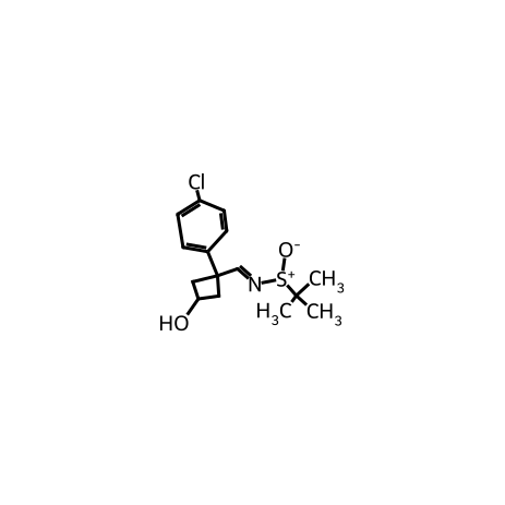 CC(C)(C)[S+]([O-])N=CC1(c2ccc(Cl)cc2)CC(O)C1